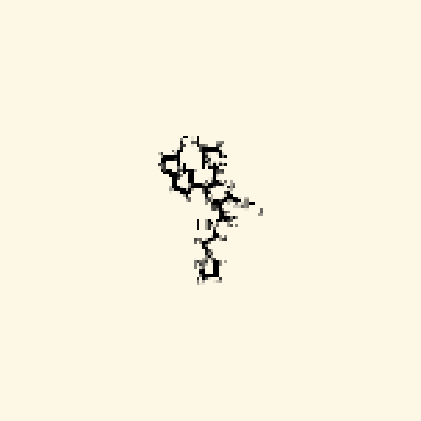 Cc1cnc2ccc(-c3nc(C(=O)NCCn4cccn4)c(N)nc3-c3ncco3)cn12